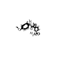 COc1ccc(NC(=O)c2noc3c2CN(C(N)=O)CC3)cc1